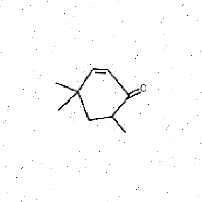 CC1CC(C)(C)C=CC1=O